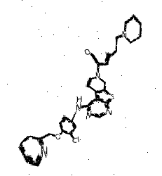 O=C(C=CCCN1CCCCC1)N1CCc2c(sc3ncnc(Nc4ccc(OCc5ccccn5)c(Cl)c4)c23)C1